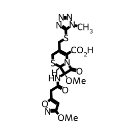 COc1cc(CC(=O)N[C@]2(OC)C(=O)N3C(C(=O)O)=C(CSc4nnnn4C)CS[C@@H]32)on1